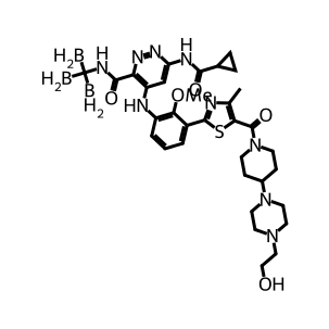 BC(B)(B)NC(=O)c1nnc(NC(=O)C2CC2)cc1Nc1cccc(-c2nc(C)c(C(=O)N3CCC(N4CCN(CCO)CC4)CC3)s2)c1OC